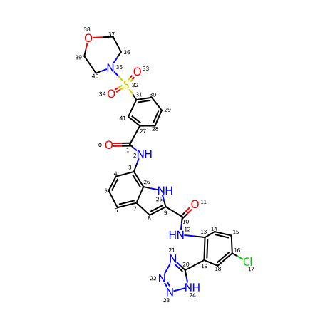 O=C(Nc1cccc2cc(C(=O)Nc3ccc(Cl)cc3-c3nnn[nH]3)[nH]c12)c1cccc(S(=O)(=O)N2CCOCC2)c1